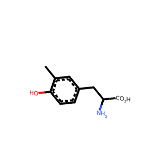 Cc1cc(CC(N)C(=O)O)ccc1O